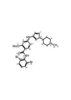 COc1nc(Nc2cnn(C3CCN(C)CC3)c2)ncc1C(=O)Nc1c(Br)cccc1Br